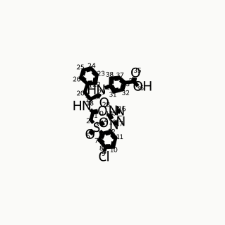 O=C(CS(=O)(=O)c1cc(Cl)ccc1-n1cnnn1)NC(Cc1ccccc1)C(=O)Nc1ccc(C(=O)O)cc1